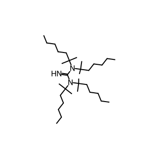 CCCCCC(C)(C)N(C(=N)N(C(C)(C)CCCCC)C(C)(C)CCCCC)C(C)(C)CCCCC